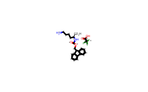 NCCCC[C@H](NC(=O)OCC1c2ccccc2-c2ccccc21)C(=O)O.O=C(O)C(F)(F)F